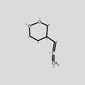 C=C=CC1CCOOC1